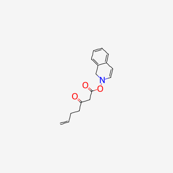 C=CCCC(=O)CC(=O)ON1C=Cc2ccccc2C1